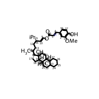 COc1cc(/C=C/C(=O)OC=C[C@H](CC[C@@H](C)[C@H]2CC[C@H]3[C@@H]4CCC5CCCC[C@]5(C)[C@H]4CC[C@]23C)C(C)C)ccc1O